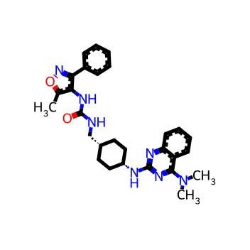 Cc1onc(-c2ccccc2)c1NC(=O)NC[C@H]1CC[C@@H](Nc2nc(N(C)C)c3ccccc3n2)CC1